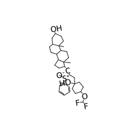 CC12CCC(O)CC1CCC1C2CCC2(C)C(CC(CC3(O)CCC(OC(F)F)CC3)[S+]([O-])c3ccccc3)CCC12